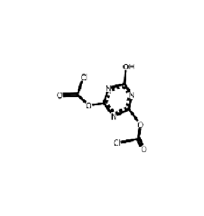 O=C(Cl)Oc1nc(O)nc(OC(=O)Cl)n1